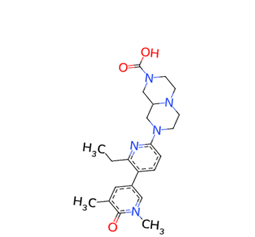 CCc1nc(N2CCN3CCN(C(=O)O)CC3C2)ccc1-c1cc(C)c(=O)n(C)c1